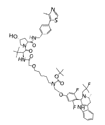 Cc1ncsc1-c1ccc(CNC(=O)[C@@H]2C[C@@H](O)CN2C(=O)[C@@H](NC(=O)COCCCCCN(CCOc2cc(F)c([C@@H]3c4[nH]c5ccccc5c4C[C@@H](C)N3CC(C)(C)F)c(F)c2)C(=O)OC(C)(C)C)C(C)(C)C)cc1